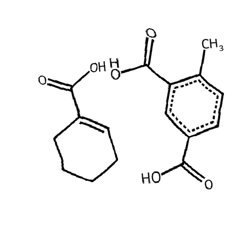 Cc1ccc(C(=O)O)cc1C(=O)O.O=C(O)C1=CCCCC1